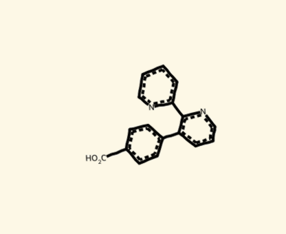 O=C(O)c1ccc(-c2cccnc2-c2ccccn2)cc1